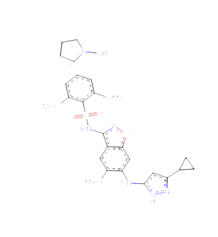 COc1cc2c(NS(=O)(=O)c3c(OC)cc([C@@H]4CCCN4C)cc3OC)noc2cc1Nc1cc(C2CC2)n[nH]1